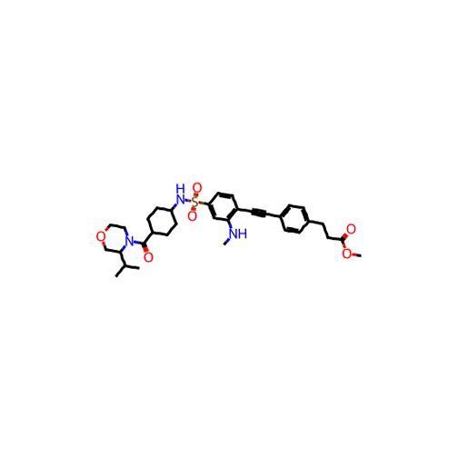 CNc1cc(S(=O)(=O)NC2CCC(C(=O)N3CCOCC3C(C)C)CC2)ccc1C#Cc1ccc(CCC(=O)OC)cc1